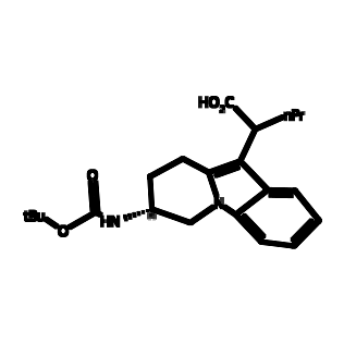 CCCC(C(=O)O)c1c2n(c3ccccc13)C[C@H](NC(=O)OC(C)(C)C)CC2